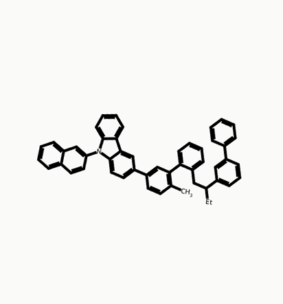 CCC(Cc1ccccc1-c1cc(-c2ccc3c(c2)c2ccccc2n3-c2ccc3ccccc3c2)ccc1C)c1cccc(-c2ccccc2)c1